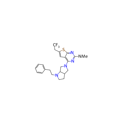 CNc1nc(N2CC3CCN(CCc4ccccc4)C3C2)c2cc(CC(F)(F)F)sc2n1